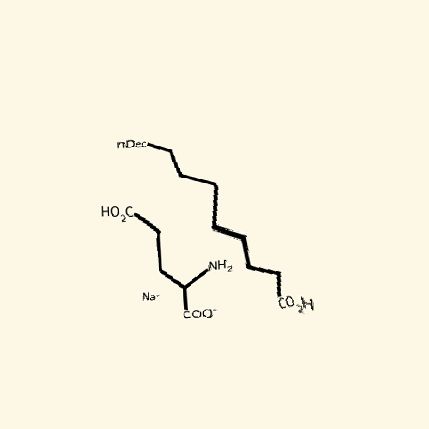 CCCCCCCCCCCCCCCCCC(=O)O.NC(CCC(=O)O)C(=O)[O-].[Na+]